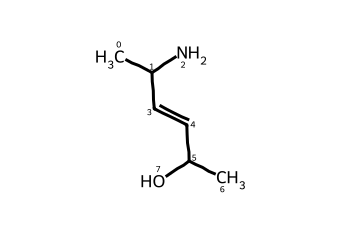 CC(N)C=CC(C)O